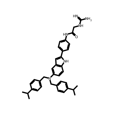 CC(C)c1ccc(CN(Cc2ccc(C(C)C)cc2)c2ccc3[nH]c(-c4ccc(NC(=O)CNC(=N)N)cc4)cc3c2)cc1